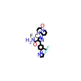 NC(=O)c1c(-c2ccc(-n3cccn3)c(C(F)F)c2)nn(-c2cccn3c(=O)ccnc23)c1C(F)(F)F